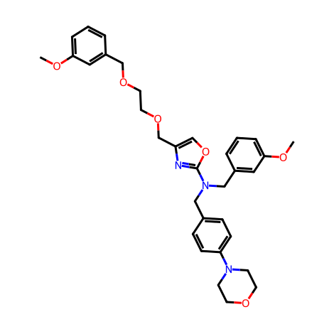 COc1cccc(COCCOCc2coc(N(Cc3ccc(N4CCOCC4)cc3)Cc3cccc(OC)c3)n2)c1